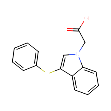 O=C(O)Cn1cc(Sc2ccccc2)c2ccccc21